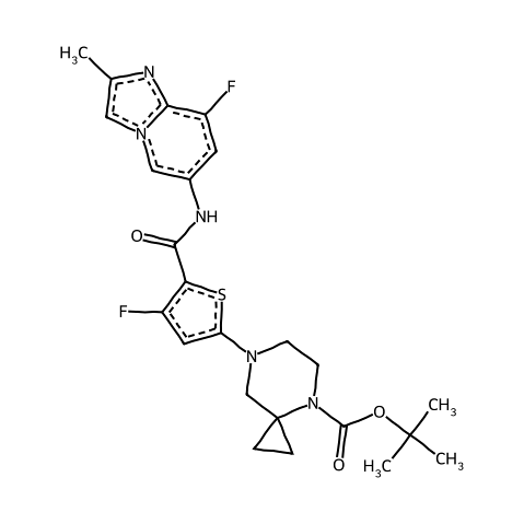 Cc1cn2cc(NC(=O)c3sc(N4CCN(C(=O)OC(C)(C)C)C5(CC5)C4)cc3F)cc(F)c2n1